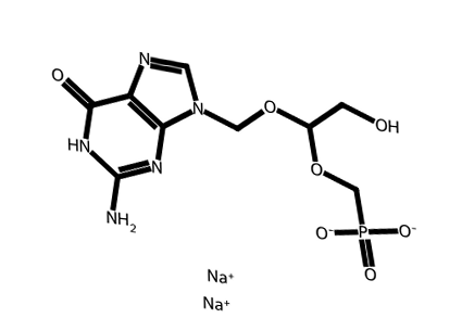 Nc1nc2c(ncn2COC(CO)OCP(=O)([O-])[O-])c(=O)[nH]1.[Na+].[Na+]